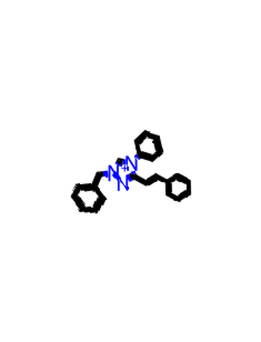 C(=C\c1n[n+](Cc2ccccc2)cn1-c1ccccc1)/c1ccccc1